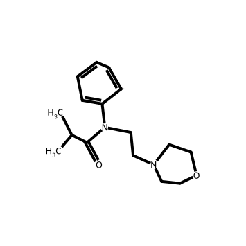 CC(C)C(=O)N(CCN1CCOCC1)c1[c]cccc1